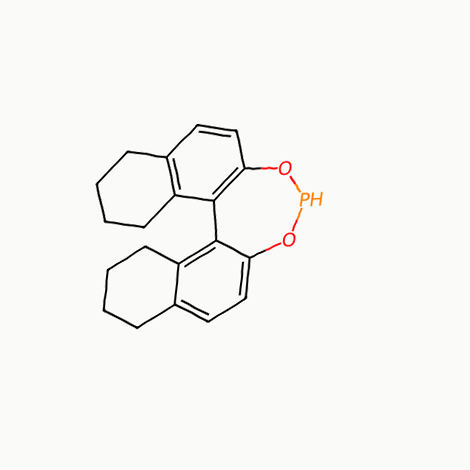 c1cc2o[pH]oc3ccc4c(c3c2c2c1CCCC2)CCCC4